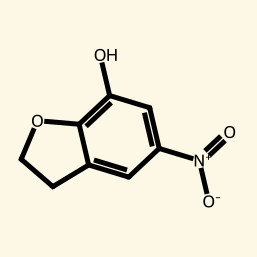 O=[N+]([O-])c1cc(O)c2c(c1)CCO2